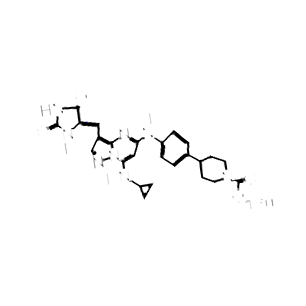 CC(C)(C)OC(=O)N1CCC(c2ccc(Nc3cc(NC4CC4)n4ncc(/C=C5\NC(=O)NC5=O)c4n3)cc2)CC1